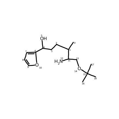 CC(CCC(O)c1ccco1)C(N)COC(C)(C)C